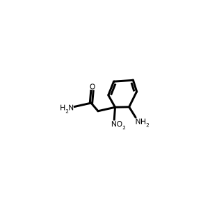 NC(=O)CC1([N+](=O)[O-])C=CC=CC1N